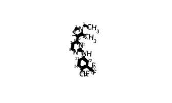 CCN1CSC(c2ccnc(Nc3ccc(Cl)c(C(F)(F)F)c3)n2)=C1C